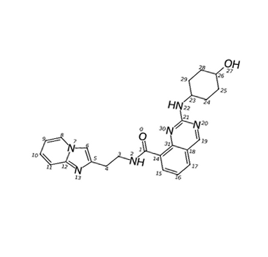 O=C(NCCc1cn2ccccc2n1)c1cccc2cnc(NC3CCC(O)CC3)nc12